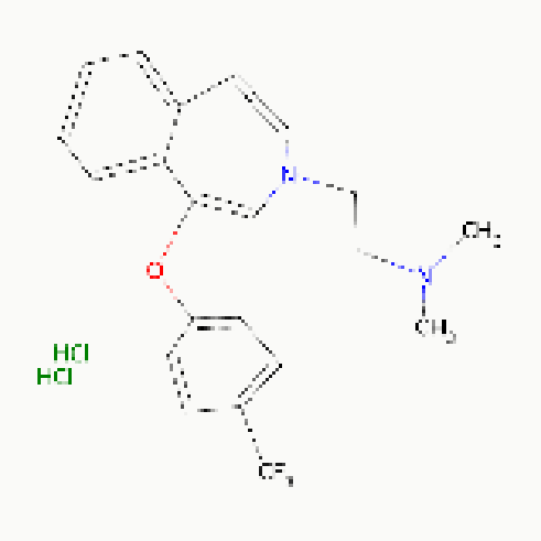 CN(C)CCN1C=Cc2ccccc2C(Oc2ccc(C(F)(F)F)cc2)=C1.Cl.Cl